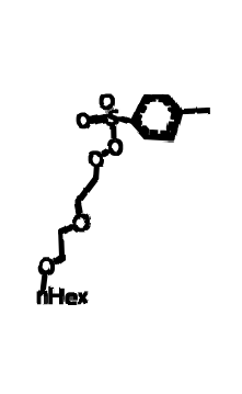 CCCCCCOCCOCCOOS(=O)(=O)c1ccc(C)cc1